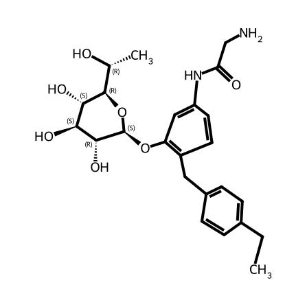 CCc1ccc(Cc2ccc(NC(=O)CN)cc2O[C@@H]2O[C@H]([C@@H](C)O)[C@@H](O)[C@H](O)[C@H]2O)cc1